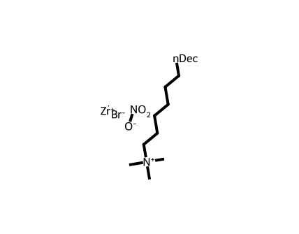 CCCCCCCCCCCCCCCC[N+](C)(C)C.O=[N+]([O-])[O-].[Br-].[Zr+]